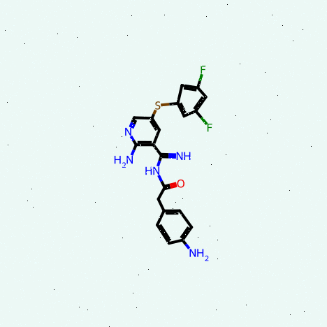 N=C(NC(=O)Cc1ccc(N)cc1)c1cc(Sc2cc(F)cc(F)c2)cnc1N